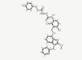 COc1nc2c(OCc3c(Cl)ccc(N(C)C(=O)CNC(=O)CCc4ccc(C)cc4)c3Cl)cccc2n1Cc1ccccn1